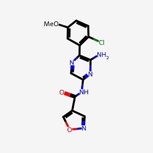 COc1ccc(Cl)c(-c2ncc(NC(=O)c3cnoc3)nc2N)c1